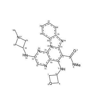 CNC(=O)c1c(NC2COC2)c2ncc(NC3CN(C)C3)nc2n2c1nc1ccccc12